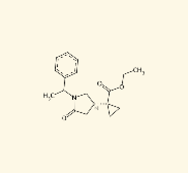 CCOC(=O)C1([C@@H]2CC(=O)N(C(C)c3ccccc3)C2)CC1